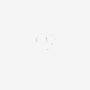 CCC1(C(C)OC=O)C=Nc2ccc(F)cc21